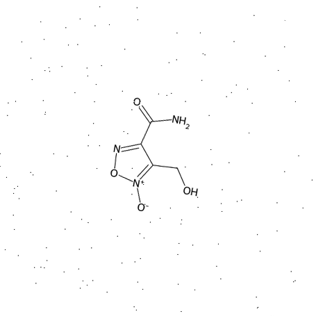 NC(=O)c1no[n+]([O-])c1CO